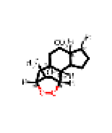 CC(C)[C@H]1CCC2[C@@H]3[C@H]4CC(C)[C@@H](C[C@]3(C)CC[C@@]21C(=O)O)OO4